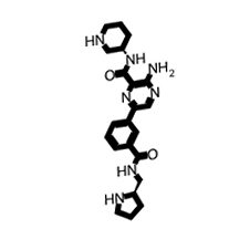 Nc1ncc(-c2cccc(C(=O)NC[C@H]3CCCN3)c2)nc1C(=O)N[C@H]1CCCNC1